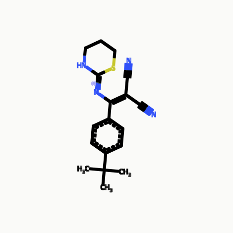 CC(C)(C)c1ccc(C(/N=C2/NCCCS2)=C(C#N)C#N)cc1